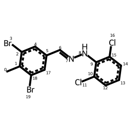 Cc1c(Br)cc(/C=N/Nc2c(Cl)cccc2Cl)cc1Br